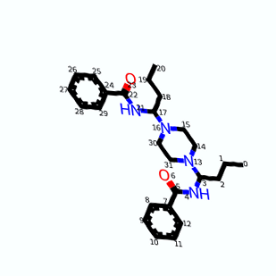 CCCC(NC(=O)c1ccccc1)N1CCN(C(CCC)NC(=O)c2ccccc2)CC1